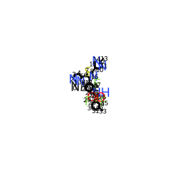 CNc1nccc(-c2sc(-c3cnc(C)nc3)nc2-c2cccc(NS(=O)(=O)c3c(F)ccc(C)c3F)c2F)n1